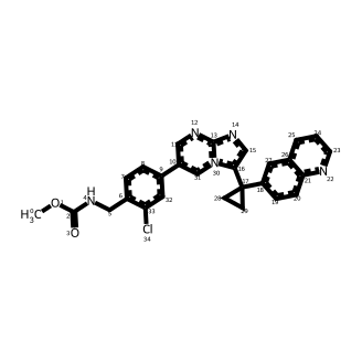 COC(=O)NCc1ccc(-c2cnc3ncc(C4(c5ccc6ncccc6c5)CC4)n3c2)cc1Cl